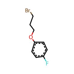 Fc1ccc(OCCCBr)cc1